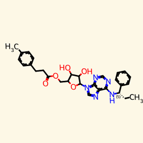 CC[C@H](Nc1ncnc2c1ncn2C1OC(COC(=O)CCc2ccc(C)cc2)C(O)C1O)c1ccccc1